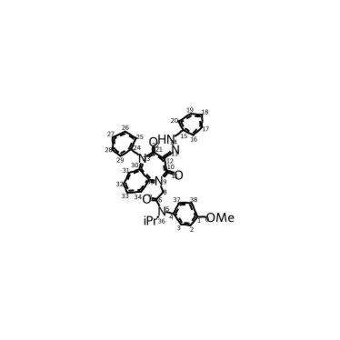 COc1ccc(N(C(=O)Cn2c(=O)c(=NNc3ccccc3)c(=O)n(-c3ccccc3)c3ccccc32)C(C)C)cc1